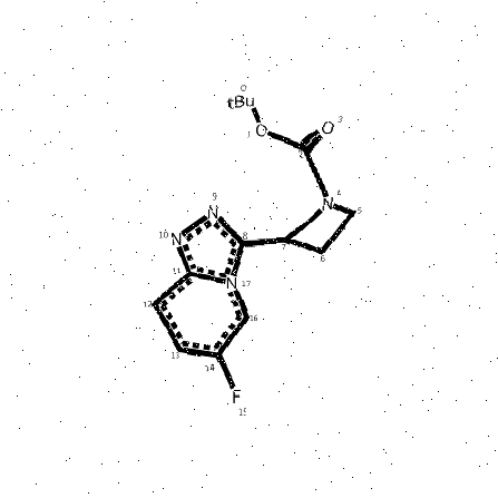 CC(C)(C)OC(=O)N1CCC1c1nnc2ccc(F)cn12